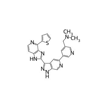 CN(C)Cc1cncc(-c2cc3c(-c4nc5c(-c6cccs6)nccc5[nH]4)n[nH]c3cn2)c1